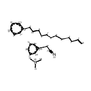 CCCCCCCCCCCCc1ccccc1.CN(C)C.N#CCc1ccccc1